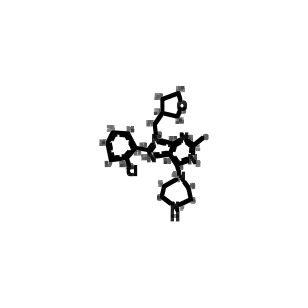 Cc1nc(N2CCNCC2)c2nc(-c3ccccc3Cl)n(CC3CCOC3)c2n1